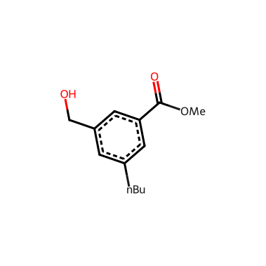 CCCCc1cc(CO)cc(C(=O)OC)c1